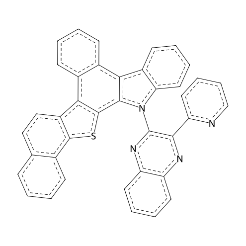 c1ccc(-c2nc3ccccc3nc2-n2c3ccccc3c3c4ccccc4c4c5ccc6ccccc6c5sc4c32)nc1